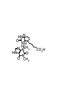 Cn1c(=O)c2[nH]cnc2n(C)c1=O.O=C(O)CCCC[C@@H]1SC[C@@H]2NC(=O)N[C@@H]21